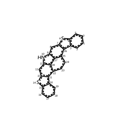 c1ccc2c(c1)sc1cc3[nH]c4cc5sc6ccccc6c5c5ccc(c12)c3c45